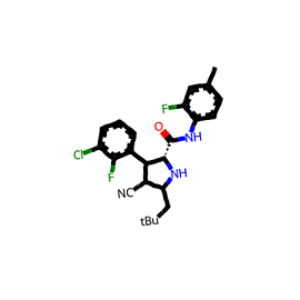 Cc1ccc(NC(=O)[C@@H]2NC(CC(C)(C)C)C(C#N)C2c2cccc(Cl)c2F)c(F)c1